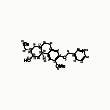 COc1cc2c(cc1OCc1cccnc1)CCN1C[C@@H](CC(C)(C)C)[C@H](O)C[C@H]21